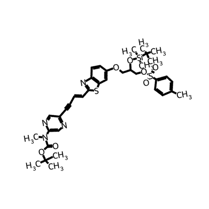 Cc1ccc(S(=O)(=O)OCC(COc2ccc3nc(/C=C/C#Cc4cnc(N(C)C(=O)OC(C)(C)C)cn4)sc3c2)O[Si](C)(C)C(C)(C)C)cc1